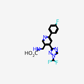 O=C(O)NCc1cnc(-c2ccc(F)cc2)cc1-c1ncn(C(F)F)n1